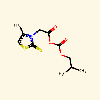 Cc1csc(=S)n1CC(=O)OC(=O)OCC(C)C